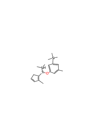 CC1=[C]([Ti]([O]c2cc(C)cc([Si](C)(C)C)c2)[SiH](C)C)CC=C1